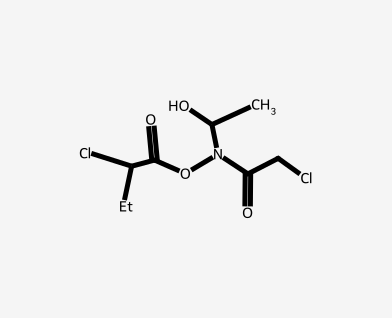 CCC(Cl)C(=O)ON(C(=O)CCl)C(C)O